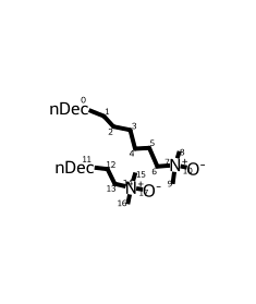 CCCCCCCCCCCCCCCC[N+](C)(C)[O-].CCCCCCCCCCCC[N+](C)(C)[O-]